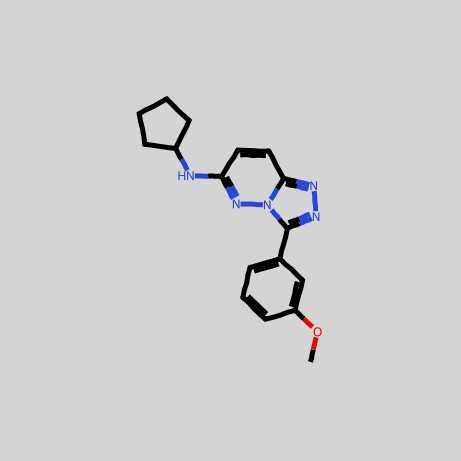 COc1cccc(-c2nnc3ccc(NC4CCCC4)nn23)c1